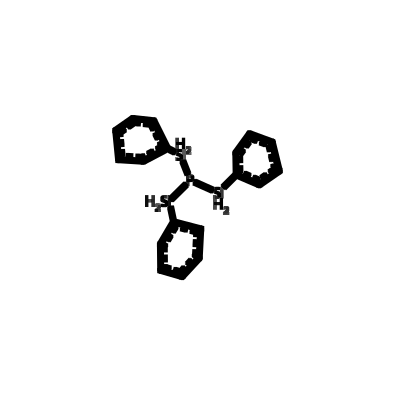 c1ccc([SiH2]P([SiH2]c2ccccc2)[SiH2]c2ccccc2)cc1